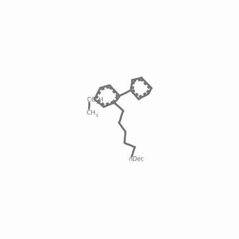 CC(=O)O.CCCCCCCCCCCCCCCc1ccccc1-c1ccccc1